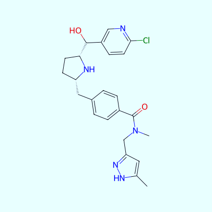 Cc1cc(CN(C)C(=O)c2ccc(C[C@@H]3CC[C@H](C(O)c4ccc(Cl)nc4)N3)cc2)n[nH]1